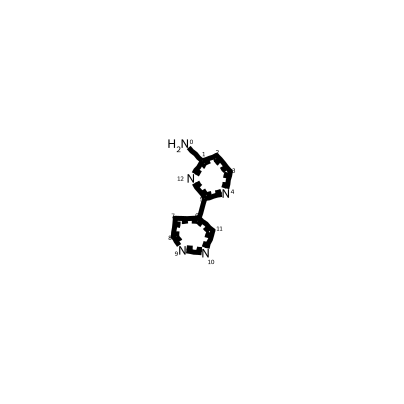 Nc1ccnc(-c2ccnnc2)n1